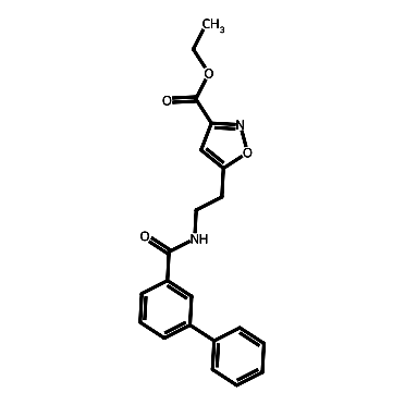 CCOC(=O)c1cc(CCNC(=O)c2cccc(-c3ccccc3)c2)on1